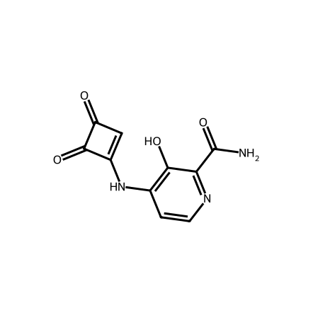 NC(=O)c1nccc(Nc2cc(=O)c2=O)c1O